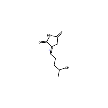 CC(O)CC/C=C1\CC(=O)NC1=O